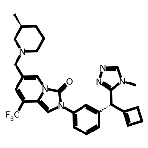 C[C@H]1CCCN(Cc2cc(C(F)(F)F)c3cn(-c4cccc([C@@H](C5=CCC5)c5nncn5C)c4)c(=O)n3c2)C1